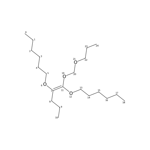 CCCCCCOC(CCC)=C(OCCCCCC)OCOCCC